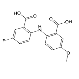 COc1ccc(Nc2ccc(F)cc2C(=O)O)c(C(=O)O)c1